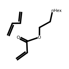 C=CC(=O)OCCCCCCCC.C=CC=C